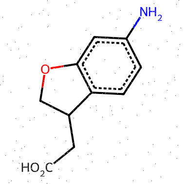 Nc1ccc2c(c1)OCC2CC(=O)O